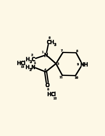 CN(C)C1(C(N)=O)CCNCC1.Cl.Cl